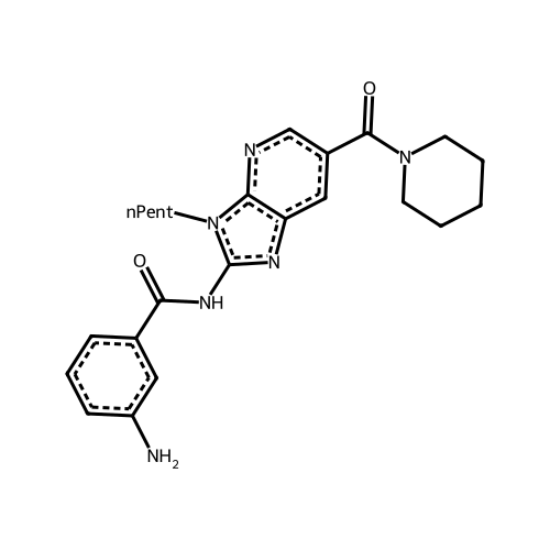 CCCCCn1c(NC(=O)c2cccc(N)c2)nc2cc(C(=O)N3CCCCC3)cnc21